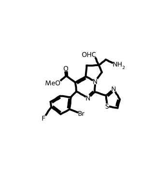 COC(=O)C1=C2CC(C=O)(CN)CN2C(c2nccs2)=NC1c1ccc(F)cc1Br